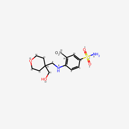 NS(=O)(=O)c1ccc(NCC2(CO)CCOCC2)c([N+](=O)[O-])c1